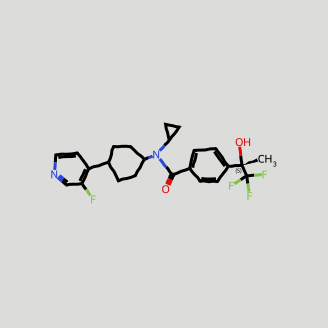 C[C@](O)(c1ccc(C(=O)N(C2CCC(c3ccncc3F)CC2)C2CC2)cc1)C(F)(F)F